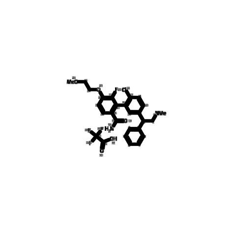 CNCC(c1ccccc1)c1ccc(Cl)c(-c2c(C(N)=O)ccc(OCCOC)c2F)c1.O=C(O)C(F)(F)F